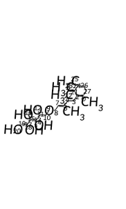 CC1=C(CC/C(C)=C/COC[C@@H](O)[C@@H](O)[C@H](O)[C@H](O)CO)C(C)(C)C(C)CC1